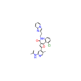 C=C(C)Nc1cc(-c2cc(C(=O)NCCc3cn4ccccc4n3)c(-c3ccccc3Cl)o2)c(C)cn1